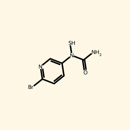 NC(=O)N(S)c1ccc(Br)nc1